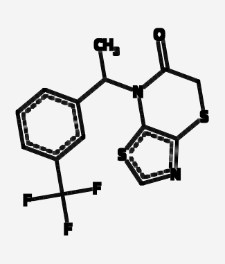 CC(c1cccc(C(F)(F)F)c1)N1C(=O)CSc2ncsc21